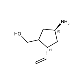 C=C[C@H]1C[C@H](N)CC1CO